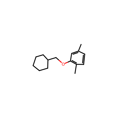 Cc1ccc(C)c(OCC2CCCCC2)c1